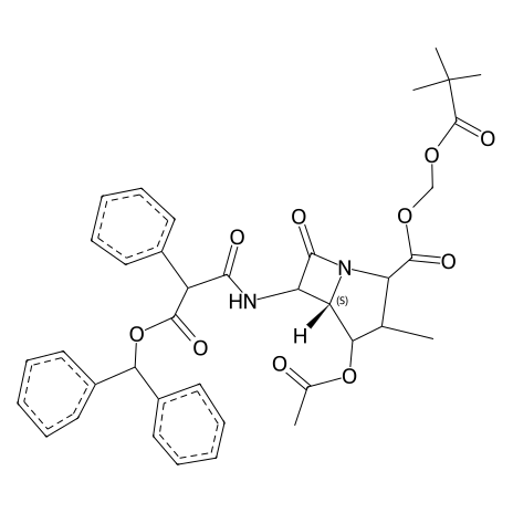 CC(=O)OC1C(C)C(C(=O)OCOC(=O)C(C)(C)C)N2C(=O)C(NC(=O)C(C(=O)OC(c3ccccc3)c3ccccc3)c3ccccc3)[C@@H]12